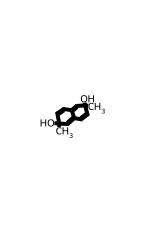 CC1(O)C=CC2=CC(C)(O)C=CC2=C1